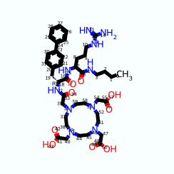 CCCCNC(=O)C(CCCNC(=N)N)NC(=O)[C@@H](Cc1ccc(-c2ccccc2)cc1)NC(=O)CN1CCN(CC(=O)O)CCN(CC(=O)O)CCN(CC(=O)O)CC1